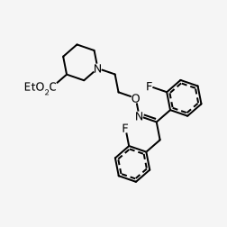 CCOC(=O)C1CCCN(CCON=C(Cc2ccccc2F)c2ccccc2F)C1